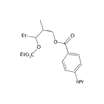 CCCc1ccc(C(=O)OCC(C)C(CC)OC(=O)OCC)cc1